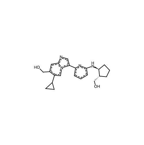 OCc1cc2ncc(-c3cccc(N[C@H]4CCC[C@@H]4CO)n3)n2cc1C1CC1